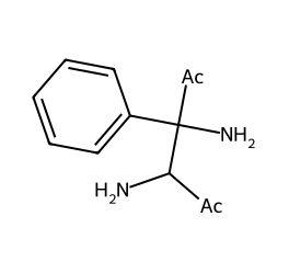 CC(=O)C(N)C(N)(C(C)=O)c1ccccc1